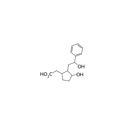 O=C(O)CC1CCC(O)C1CC(O)c1ccccc1